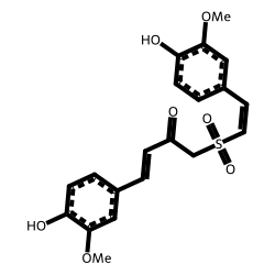 COc1cc(/C=C\S(=O)(=O)CC(=O)/C=C/c2ccc(O)c(OC)c2)ccc1O